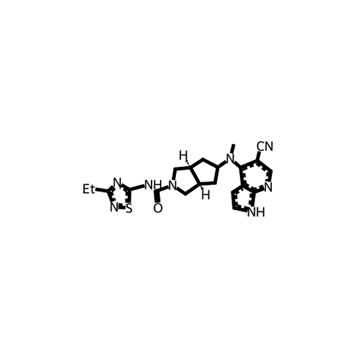 CCc1nsc(NC(=O)N2C[C@H]3CC(N(C)c4c(C#N)cnc5[nH]ccc45)C[C@H]3C2)n1